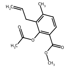 C=CCc1c(C)ccc(C(=O)OC)c1OC(C)=O